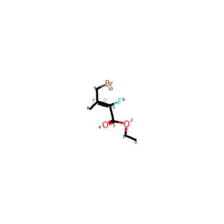 CCOC(=O)/C(F)=C(\C)CBr